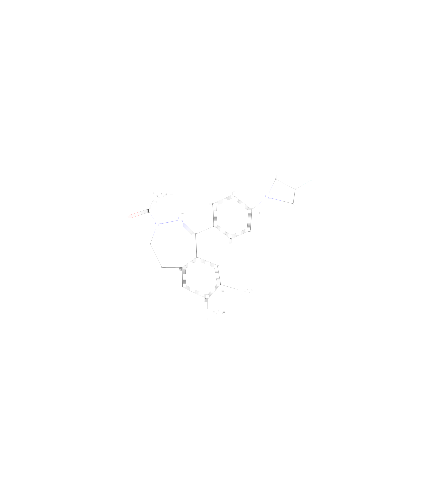 CNC(=O)N1CCc2cc(OC)c(OC)cc2C(c2ccc(N3CC(F)C3)cc2)=N1